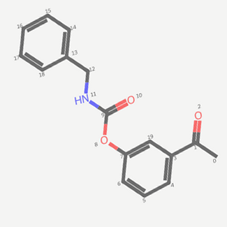 CC(=O)c1cccc(OC(=O)NCc2ccccc2)c1